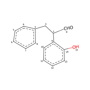 O=CC(Cc1ccccc1)c1ccccc1O